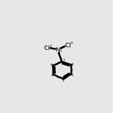 ClN(Cl)c1ccccc1